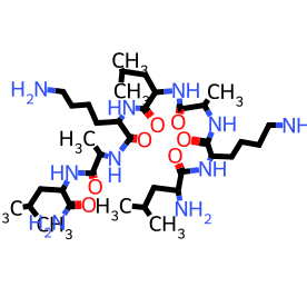 CC(C)CC(N)C(=O)NC(CCCCN)C(=O)NC(C)C(=O)NC(CC(C)C)C(=O)NC(CCCCN)C(=O)NC(C)C(=O)NC(CC(C)C)C(N)=O